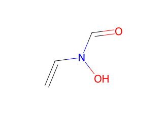 C=CN(O)C=O